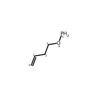 C=CCCOP